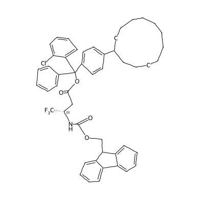 O=C(C[C@H](NC(=O)OCC1c2ccccc2-c2ccccc21)C(F)(F)F)OC(c1ccccc1)(c1ccc(C2CCCCCCCCCCC2)cc1)c1ccccc1Cl